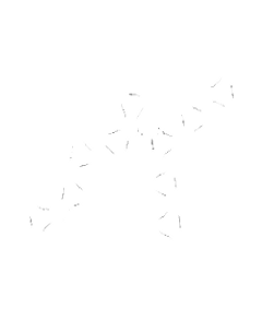 c1ccc(-c2ccc(-c3cc(-c4ccc(-c5ccccc5)cc4)nc(-n4c5ccccc5c5cc(-c6cccc(-c7ccc8sc9ccccc9c8c7)c6)ccc54)c3)cc2)cc1